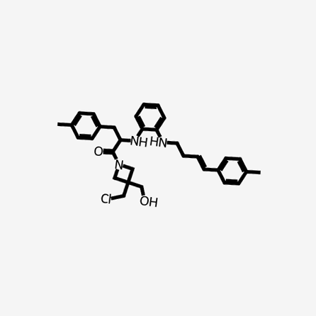 Cc1ccc(C=CCCNc2ccccc2NC(Cc2ccc(C)cc2)C(=O)N2CC(CO)(CCl)C2)cc1